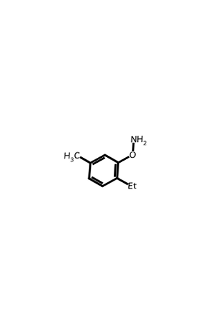 CCc1ccc(C)cc1ON